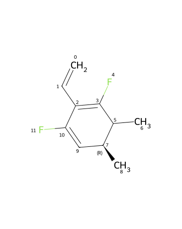 C=CC1=C(F)C(C)[C@@H](C)C=C1F